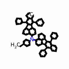 C=Cc1ccc(N(c2ccc3c4c(cccc24)-c2c-3c(-c3ccccc3)c3ccccc3c2-c2ccccc2)c2ccc3c4c(cccc24)-c2c-3c(-c3ccccc3)c3ccccc3c2-c2ccccc2)cc1